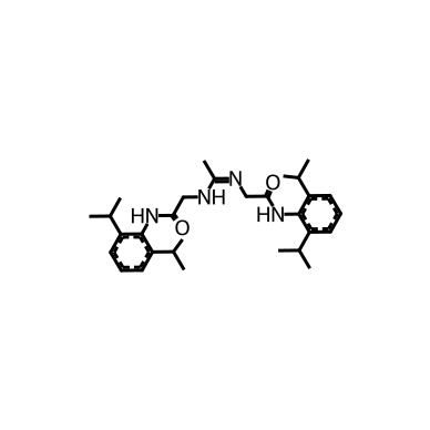 CC(=NCC(=O)Nc1c(C(C)C)cccc1C(C)C)NCC(=O)Nc1c(C(C)C)cccc1C(C)C